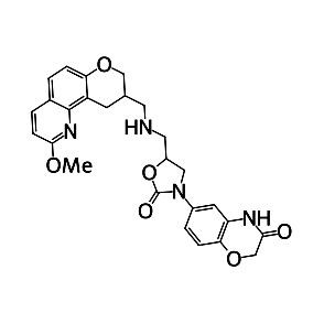 COc1ccc2ccc3c(c2n1)CC(CNCC1CN(c2ccc4c(c2)NC(=O)CO4)C(=O)O1)CO3